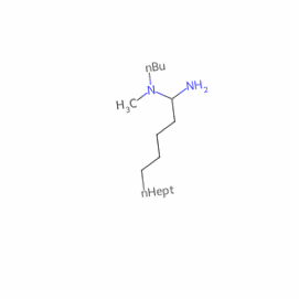 CCCCCCCCCCCC(N)N(C)CCCC